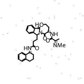 CN[C@@H](C)C(=O)N[C@H]1CCO[C@H]2c3ccccc3C(CCC(=O)N[C@@H]3CCCc4ccccc43)N2C1=O